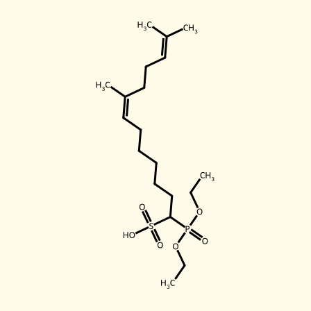 CCOP(=O)(OCC)C(CCCCCC=C(C)CCC=C(C)C)S(=O)(=O)O